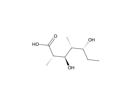 CC[C@@H](O)[C@@H](C)[C@@H](O)[C@H](C)C(=O)O